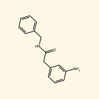 Nc1cccc(CC(=O)NCc2ccccc2)c1